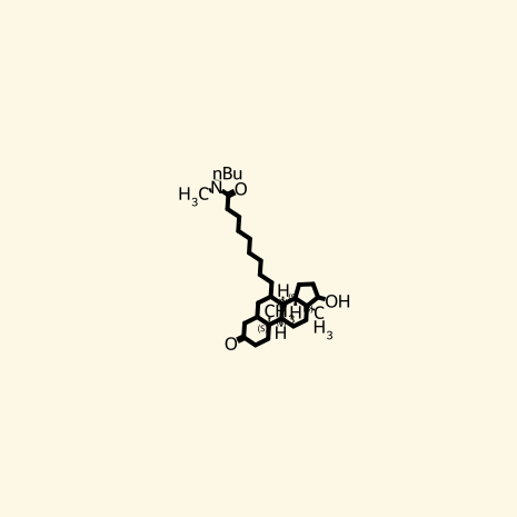 CCCCN(C)C(=O)CCCCCCCCC1CC2CC(=O)CC[C@]2(C)[C@@H]2CC[C@]3(C)C(O)CC[C@H]3[C@H]12